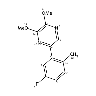 COc1ncc(-c2cc(F)ccc2C)nc1OC